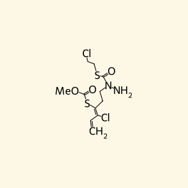 C=C/C(Cl)=C(/CCN(N)C(=O)SCCCl)SC(=O)OC